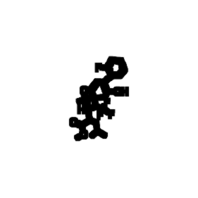 COC(=O)C(CC(C)C)NC(C(F)(F)F)C1(S(C)(=O)=O)C=CC(c2ccccc2F)=C(O)C1